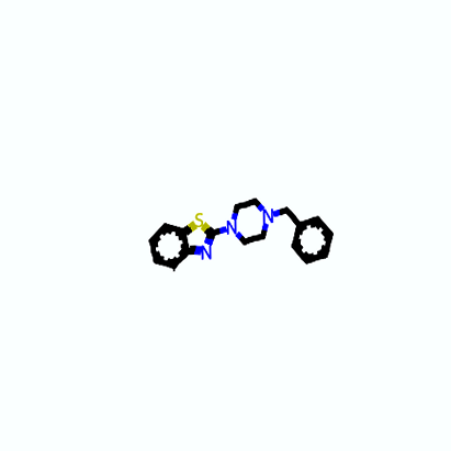 [c]1cccc2sc(N3CCN(Cc4ccccc4)CC3)nc12